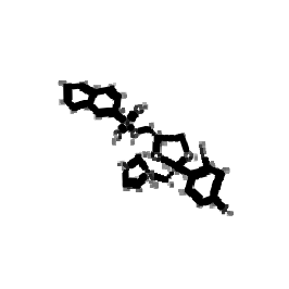 O=S(=O)(OC[C@@H]1CO[C@@](Cn2ccnc2)(c2ccc(F)cc2F)O1)c1ccc2ccccc2c1